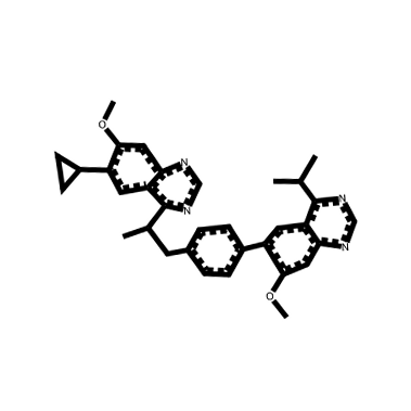 COc1cc2ncnc(C(C)C)c2cc1-c1ccc(CC(C)c2ncnc3cc(OC)c(C4CC4)cc23)cc1